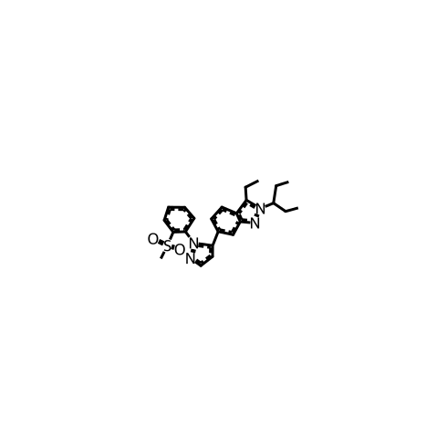 CCc1c2ccc(-c3ccnn3-c3ccccc3S(C)(=O)=O)cc2nn1C(CC)CC